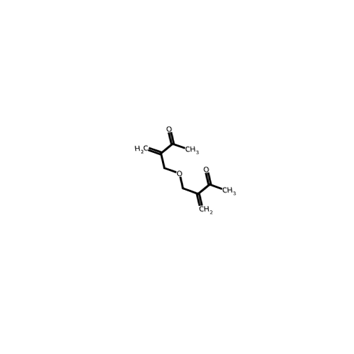 C=C(COCC(=C)C(C)=O)C(C)=O